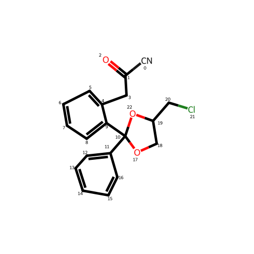 N#CC(=O)Cc1ccccc1C1(c2ccccc2)OCC(CCl)O1